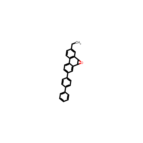 CCc1ccc2c(c1)C1OC1c1cc(-c3ccc(-c4ccccc4)cc3)ccc1-2